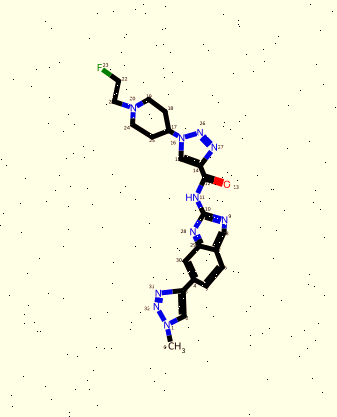 Cn1cc(-c2ccc3cnc(NC(=O)c4cn(C5CCN(CCF)CC5)nn4)nc3c2)nn1